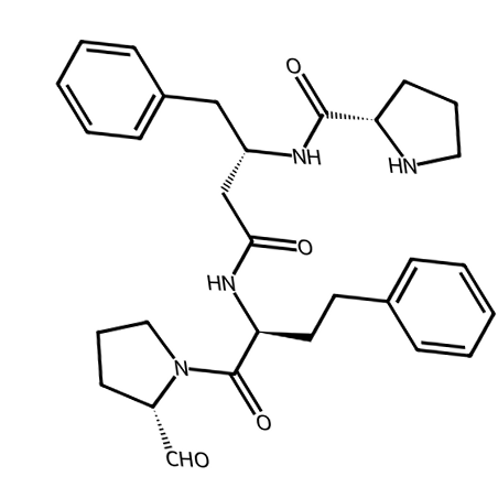 O=C[C@@H]1CCCN1C(=O)[C@H](CCc1ccccc1)NC(=O)C[C@H](Cc1ccccc1)NC(=O)[C@@H]1CCCN1